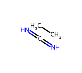 CC.N=C=N